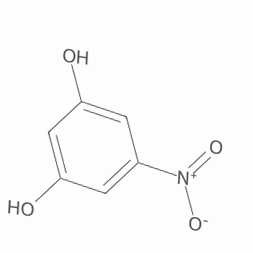 O=[N+]([O-])c1cc(O)cc(O)c1